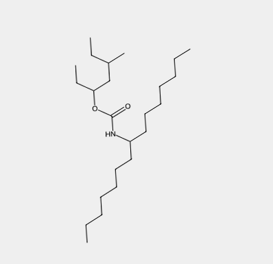 CCCCCCCC(CCCCCCC)NC(=O)OC(CC)CC(C)CC